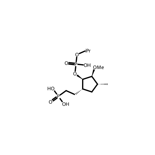 CO[C@@H]1[C@H](OP(=O)(O)OC(C)C)[C@@H](CCP(=O)(O)O)C[C@H]1C